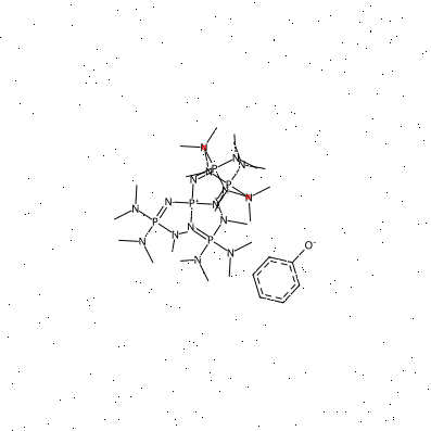 CN(C)P(=N[P+](N=P(N(C)C)(N(C)C)N(C)C)(N=P(N(C)C)(N(C)C)N(C)C)N=P(N(C)C)(N(C)C)N(C)C)(N(C)C)N(C)C.[O-]c1ccccc1